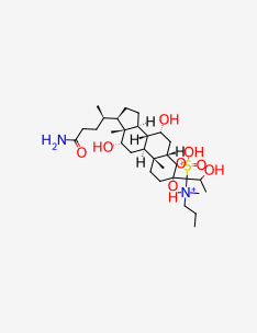 CCC[N+](C)(C)C(C(C)O)([C@@]1(O)CC[C@@]2(C)[C@H](C[C@@H](O)[C@@H]3[C@@H]2C[C@H](O)[C@]2(C)[C@@H]([C@H](C)CCC(N)=O)CC[C@@H]32)C1)S(=O)(=O)O